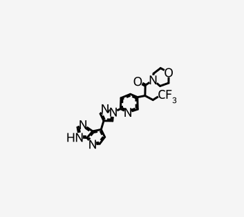 O=C(C(CC(F)(F)F)c1ccc(-n2cc(-c3ccnc4[nH]cnc34)cn2)nc1)N1CCOCC1